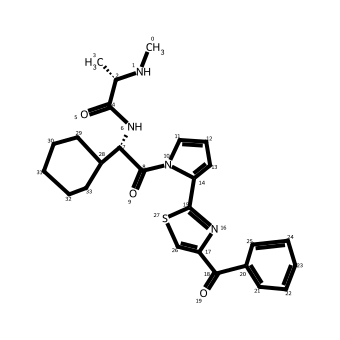 CN[C@@H](C)C(=O)N[C@H](C(=O)n1cccc1-c1nc(C(=O)c2ccccc2)cs1)C1CCCCC1